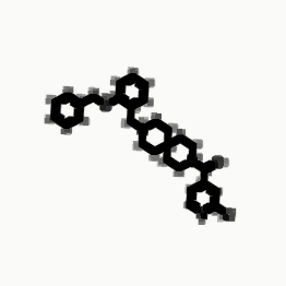 O=C(c1ccnc(Cl)c1)N1CCC2(CCN(Cc3ccccc3OCc3ccccc3)CC2)CC1